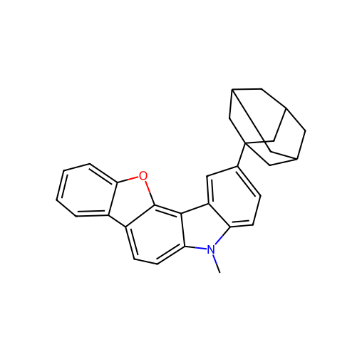 Cn1c2ccc(C34CC5CC(CC(C5)C3)C4)cc2c2c3oc4ccccc4c3ccc21